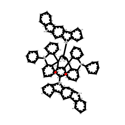 c1ccc(N2c3ccccc3C3(c4ccccc42)c2cc(-n4c5ccccc5c5cc6c(cc54)sc4ccccc46)oc2C2(c4ccccc4N(c4ccccc4)c4ccccc42)c2cc(-n4c5ccccc5c5cc6c(cc54)sc4ccccc46)oc23)cc1